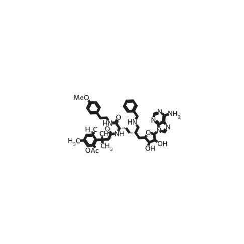 COc1ccc(CCNC(=O)[C@H](CC[C@H](CNCc2ccccc2)CC2OC(n3cnc4c(N)ncnc43)C(O)C2O)NC(=O)CC(C)(C)c2c(C)cc(C)cc2OC(C)=O)cc1